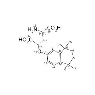 CC1(C)CCC(C)(C)c2cc(OC(C[C@H](N)C(=O)O)C(=O)O)ccc21